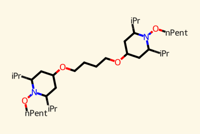 CCCCCON1C(C(C)C)CC(OCCCCOC2CC(C(C)C)N(OCCCCC)C(C(C)C)C2)CC1C(C)C